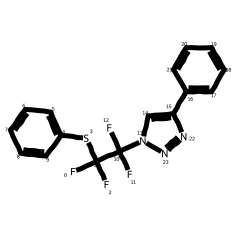 FC(F)(Sc1ccccc1)C(F)(F)n1cc(-c2ccccc2)nn1